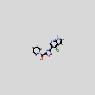 O=C(c1nc(-c2cnc3[nH]ccc3c2Cl)no1)N1CCCCC1